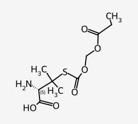 CCC(=O)OCOC(=O)SC(C)(C)[C@@H](N)C(=O)O